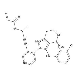 C=CC(=O)N[C@H](C)C#Cc1cnccc1-c1[nH]c2c(c1Nc1cccc(Cl)c1OC)C(=O)NCC2